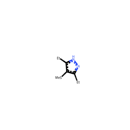 CCc1n[nH]c(CC)c1SC